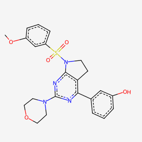 COc1cccc(S(=O)(=O)N2CCc3c(-c4cccc(O)c4)nc(N4CCOCC4)nc32)c1